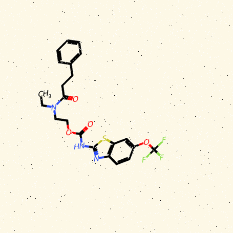 CCN(CCOC(=O)Nc1nc2ccc(OC(F)(F)F)cc2s1)C(=O)CCc1ccccc1